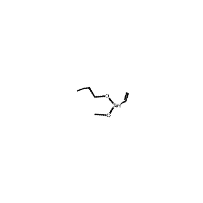 C=C[SiH](OC)OCCC